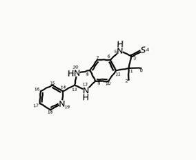 CC1(C)C(=S)Nc2cc3c(cc21)NC(c1ccccn1)N3